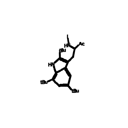 CC(=O)C(Cc1c(C(C)(C)C)[nH]c2c(C(C)(C)C)cc(C(C)(C)C)cc12)NI